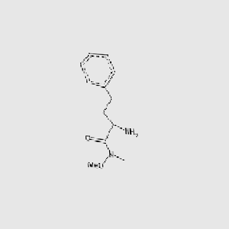 CON(C)C(=O)C(N)CCc1ccccc1